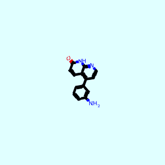 Nc1cccc(-c2ccnc3[nH]c(=O)ccc23)c1